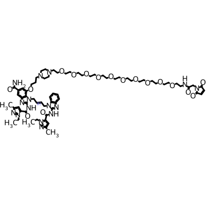 CCn1nc(C)cc1C(=O)Nc1nc2ccccc2n1C/C=C/Cn1c(NC(=O)c2cc(C)nn2CC)nc2cc(C(N)=O)cc(OCCCN3CCN(CCOCCOCCOCCOCCOCCOCCOCCOCCOCCOCCNC(=O)CN4C(=O)C=CC4=O)CC3)c21